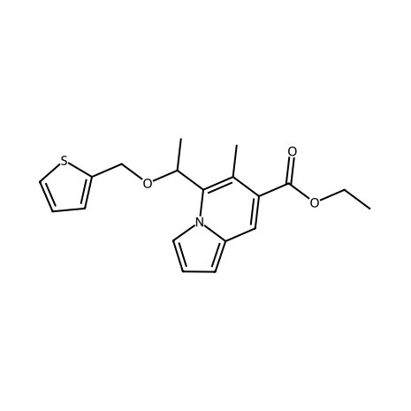 CCOC(=O)c1cc2cccn2c(C(C)OCc2cccs2)c1C